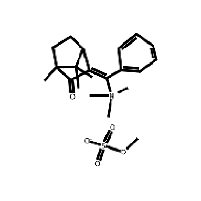 CC12CCC(C(=C(c3ccccc3)[N+](C)(C)C)C1=O)C2(C)C.COS(=O)(=O)[O-]